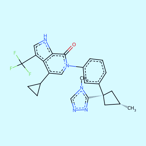 Cn1cnnc1[C@]1(c2cccc(-n3cc(C4CC4)c4c(C(F)(F)F)c[nH]c4c3=O)c2)C[C@H](C)C1